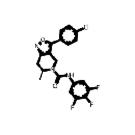 C[C@H]1Cc2noc(-c3ccc(Cl)cc3)c2CN1C(=O)Nc1cc(F)c(F)c(F)c1